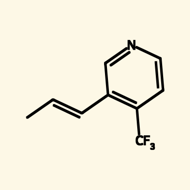 CC=Cc1cnccc1C(F)(F)F